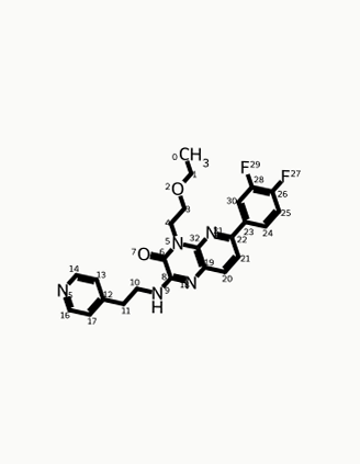 CCOCCn1c(=O)c(NCCc2ccncc2)nc2ccc(-c3ccc(F)c(F)c3)nc21